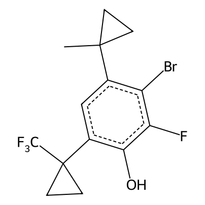 CC1(c2cc(C3(C(F)(F)F)CC3)c(O)c(F)c2Br)CC1